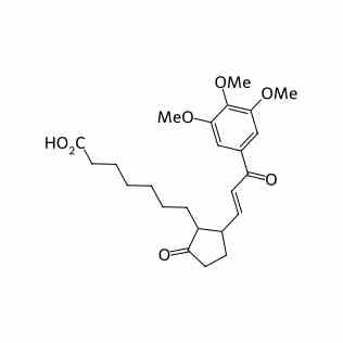 COc1cc(C(=O)C=CC2CCC(=O)C2CCCCCCC(=O)O)cc(OC)c1OC